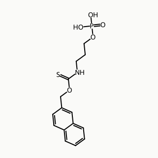 O=P(O)(O)OCCCNC(=S)OCc1ccc2ccccc2c1